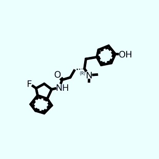 CN(C)[C@H](CCC(=O)NC1CC(F)c2ccccc21)Cc1ccc(O)cc1